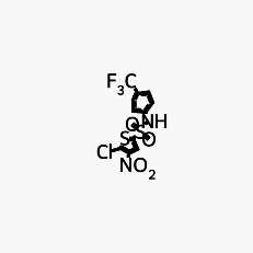 O=[N+]([O-])c1cc(S(=O)(=O)Nc2ccc(C(F)(F)F)cc2)sc1Cl